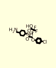 NCC1CCC(NC(=O)COc2ccc(Cl)cc2)CC1.O=C(O)C(F)(F)F